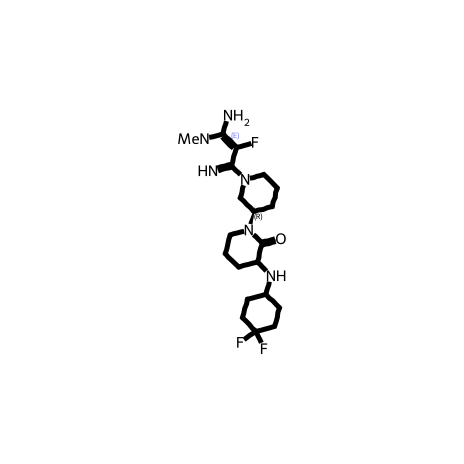 CN/C(N)=C(/F)C(=N)N1CCC[C@@H](N2CCCC(NC3CCC(F)(F)CC3)C2=O)C1